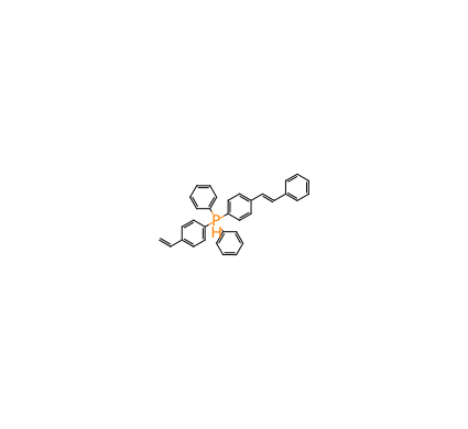 C=Cc1ccc([PH](c2ccccc2)(c2ccccc2)c2ccc(C=Cc3ccccc3)cc2)cc1